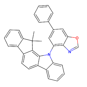 CC1(C)c2ccccc2-c2ccc3c4ccccc4n(-c4cc(-c5ccccc5)cc5ocnc45)c3c21